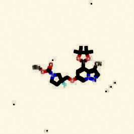 CC(C)(C)OC(=O)N1CCC(F)(COc2cc(B3OC(C)(C)C(C)(C)O3)c3c(C#N)cnn3c2)C1